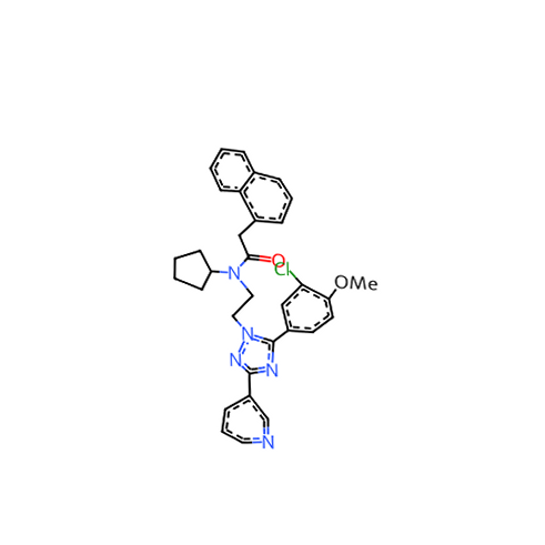 COc1ccc(-c2nc(-c3cccnc3)nn2CCN(C(=O)Cc2cccc3ccccc23)C2CCCC2)cc1Cl